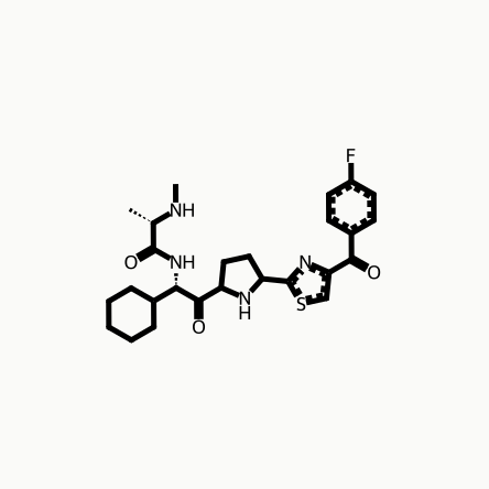 CN[C@@H](C)C(=O)N[C@H](C(=O)C1CCC(c2nc(C(=O)c3ccc(F)cc3)cs2)N1)C1CCCCC1